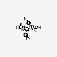 CC(=O)Nc1nc2c(-c3cccc(C(F)(F)F)c3)c(C)c(-c3nc(C(=O)O)nn3-c3ccc(C#N)cc3)cn2n1